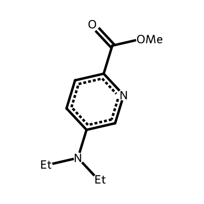 CCN(CC)c1ccc(C(=O)OC)nc1